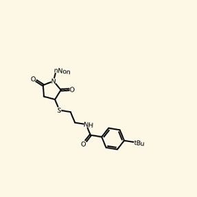 CCCCCCCCCN1C(=O)CC(SCCNC(=O)c2ccc(C(C)(C)C)cc2)C1=O